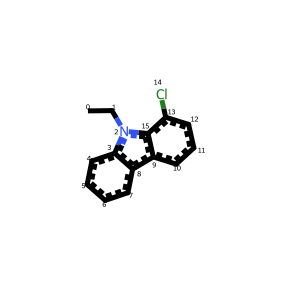 CCn1c2ccccc2c2cccc(Cl)c21